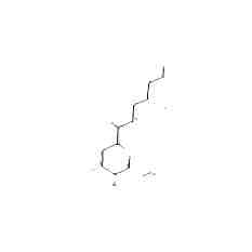 OC[C@@H](O)[C@@H](O)[C@H](O)[C@@H](O)C(O)C1O[C@H](CO)[C@@H](O)[C@H](O)[C@@H]1O